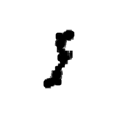 C=C(CSCCCSc1ccc(C(=O)C(C)(C)N2CCOCC2)cc1)C(=O)NCCSc1ccc(C(=O)C(C)(C)N2CCOCC2)cc1